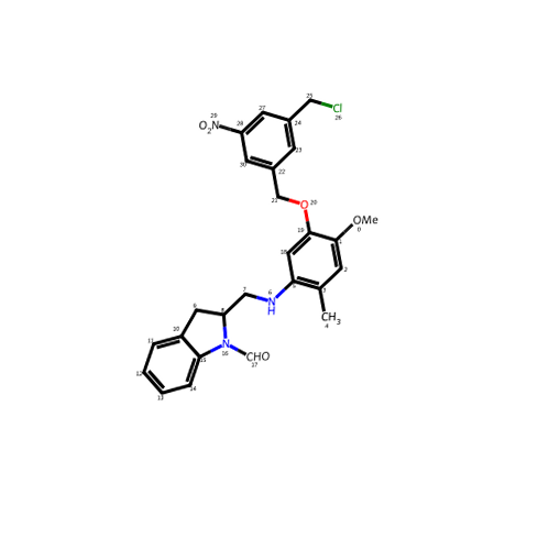 COc1cc(C)c(NCC2Cc3ccccc3N2C=O)cc1OCc1cc(CCl)cc([N+](=O)[O-])c1